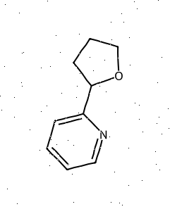 c1ccc(C2CCCO2)nc1